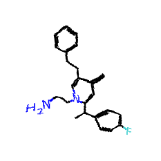 C=C1C=C(C(C)c2ccc(F)cc2)N(CCN)C=C1CCc1ccccc1